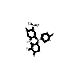 CCN(CC)c1cc2c(cc1C)nc1c([n+]2-c2ccc(C)cc2)C=CC(C)C1=O